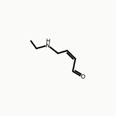 CCNC/C=C\C=O